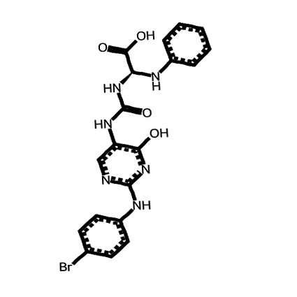 O=C(Nc1cnc(Nc2ccc(Br)cc2)nc1O)N[C@H](Nc1ccccc1)C(=O)O